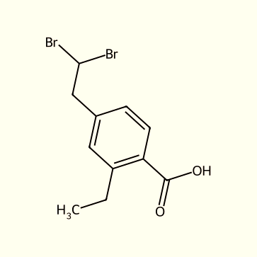 CCc1cc(CC(Br)Br)ccc1C(=O)O